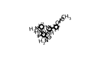 COCCOc1cccc(-c2cncc(Nc3nc(N[C@@H]4CCCC[C@@H]4N)c(F)cc3C(N)=O)c2)c1